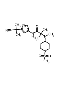 CN(C1CCN(S(C)(=O)=O)CC1)C(C)(C)C(=O)Nc1cc(C(C)(C)C#N)no1